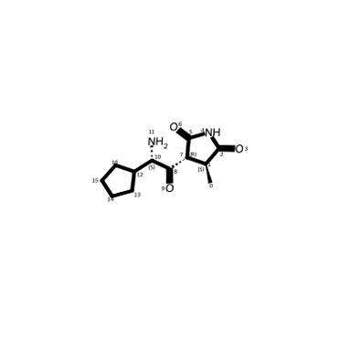 C[C@@H]1C(=O)NC(=O)[C@H]1C(=O)[C@@H](N)C1CCCC1